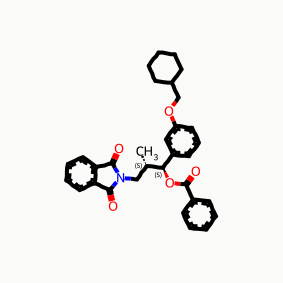 C[C@@H](CN1C(=O)c2ccccc2C1=O)[C@H](OC(=O)c1ccccc1)c1cccc(OCC2CCCCC2)c1